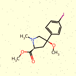 COC(=O)[C@@H]1C[C@@](OC)(c2ccc(I)cc2)CN1C